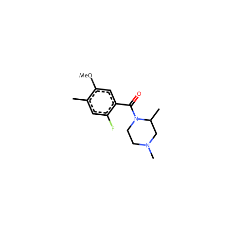 COc1cc(C(=O)N2CCN(C)CC2C)c(F)cc1C